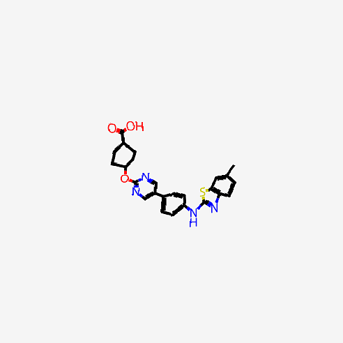 Cc1ccc2nc(Nc3ccc(-c4cnc(OC5CCC(C(=O)O)CC5)nc4)cc3)sc2c1